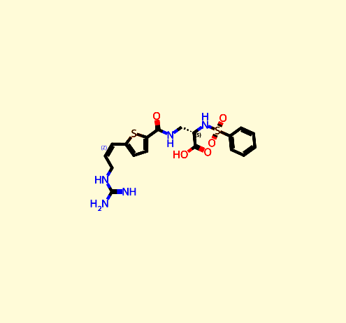 N=C(N)NC/C=C\c1ccc(C(=O)NC[C@H](NS(=O)(=O)c2ccccc2)C(=O)O)s1